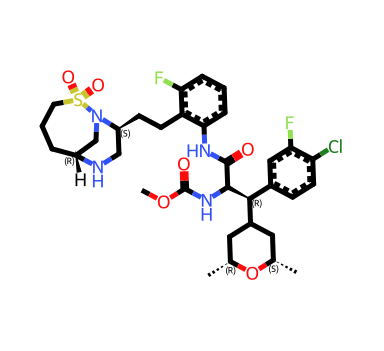 COC(=O)NC(C(=O)Nc1cccc(F)c1CC[C@H]1CN[C@@H]2CCCS(=O)(=O)N1C2)[C@@H](c1ccc(Cl)c(F)c1)C1C[C@@H](C)O[C@@H](C)C1